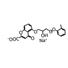 Cc1ccccc1OOCC(O)COc1cccc2oc(C(=O)[O-])cc(=O)c12.[Na+]